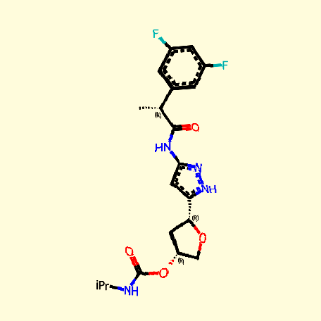 CC(C)NC(=O)O[C@H]1CO[C@@H](c2cc(NC(=O)[C@H](C)c3cc(F)cc(F)c3)n[nH]2)C1